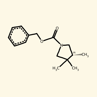 C[C@H]1CN(C(=O)OCc2ccccc2)CC1(C)C